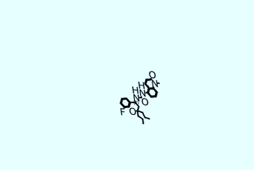 CCCC1(CCC)C[C@@H](NC(=O)Nc2cccc3c2ccc(=O)n3C)c2cccc(F)c2O1